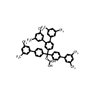 OB(O)OC(c1ccc(-c2cc(C(F)(F)F)cc(C(F)(F)F)c2)cc1)(c1ccc(-c2cc(C(F)(F)F)cc(C(F)(F)F)c2)cc1)c1ccc(-c2cc(C(F)(F)F)cc(C(F)(F)F)c2)c(-c2cc(C(F)(F)F)cc(C(F)(F)F)c2)c1